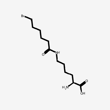 NC(CCCCNC(=O)CCCCCBr)C(=O)O